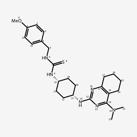 COc1ccc(CNC(=S)N[C@H]2CC[C@@H](Nc3nc4c(c(N(C)C)n3)CCCC4)CC2)cc1